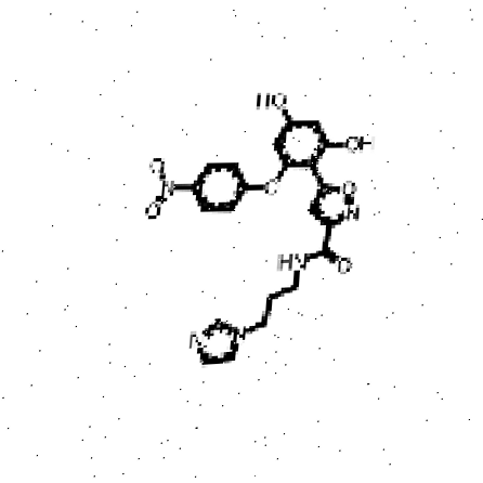 O=C(NCCCn1ccnc1)c1cc(-c2c(O)cc(O)cc2Oc2ccc([N+](=O)[O-])cc2)on1